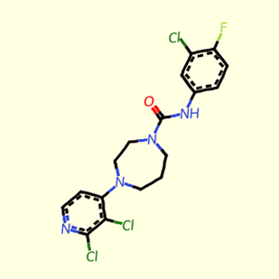 O=C(Nc1ccc(F)c(Cl)c1)N1CCCN(c2ccnc(Cl)c2Cl)CC1